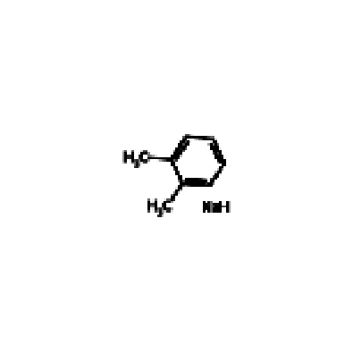 Cc1ccccc1C.[NaH]